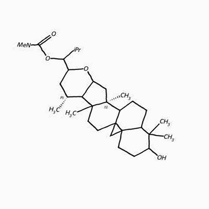 CNC(=O)OC(C(C)C)C1C[C@@H](C)C2C(C[C@@]3(C)C4CCC5C(C)(C)C(O)CCC56CC46CCC23C)O1